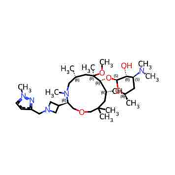 CO[C@]1(C)C[C@@H](C)CN(C)[C@H](C2CN(Cc3ccn(C)n3)C2)COCC(C)(C)C[C@@H](C)[C@H]1O[C@@H]1O[C@H](C)C[C@H](N(C)C)[C@H]1O